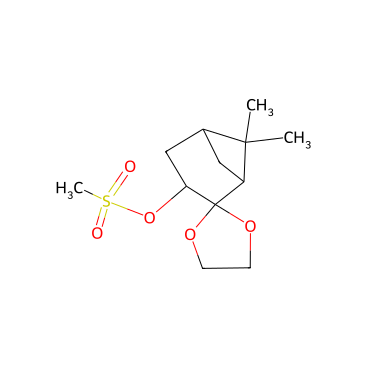 CC1(C)C2CC(OS(C)(=O)=O)C3(OCCO3)C1C2